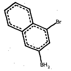 Bc1cc(Br)c2ccccc2c1